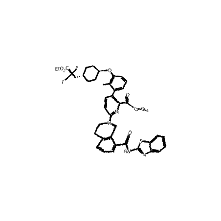 CCOC(=O)C(F)(F)C[C@H]1CC[C@H](Oc2cccc(-c3ccc(N4CCc5cccc(C(=O)Nc6nc7ccccc7s6)c5C4)nc3C(=O)OC(C)(C)C)c2C)CC1